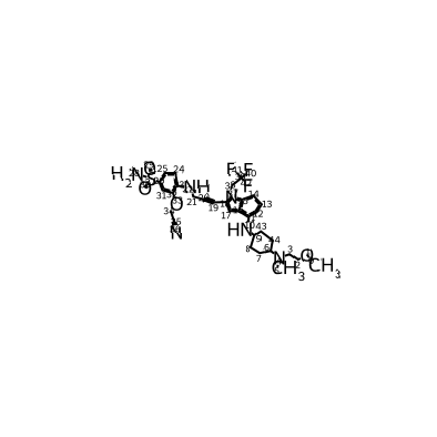 COCCN(C)C1CCC(Nc2cccc3c2cc(C#CCNc2ccc(S(N)(=O)=O)cc2OCC#N)n3CC(F)(F)F)CC1